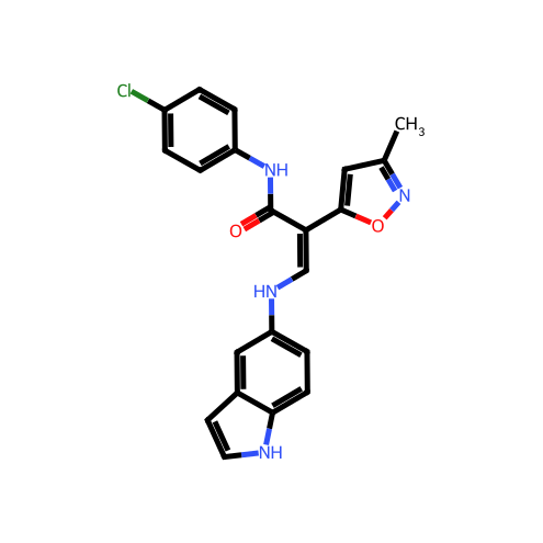 Cc1cc(C(=CNc2ccc3[nH]ccc3c2)C(=O)Nc2ccc(Cl)cc2)on1